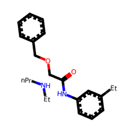 CCCNCC.CCc1cccc(NC(=O)COCc2ccccc2)c1